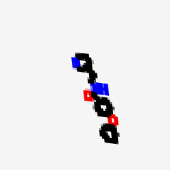 O=C(NCCc1cccnc1)c1ccc(Oc2ccccc2)cc1